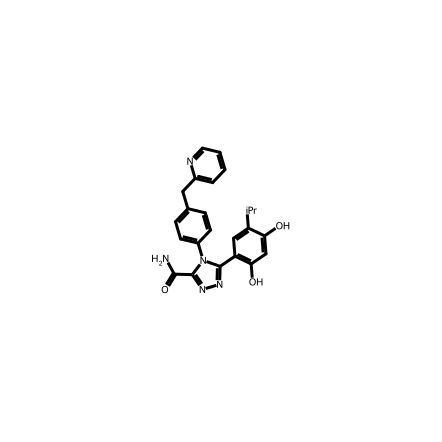 CC(C)c1cc(-c2nnc(C(N)=O)n2-c2ccc(Cc3ccccn3)cc2)c(O)cc1O